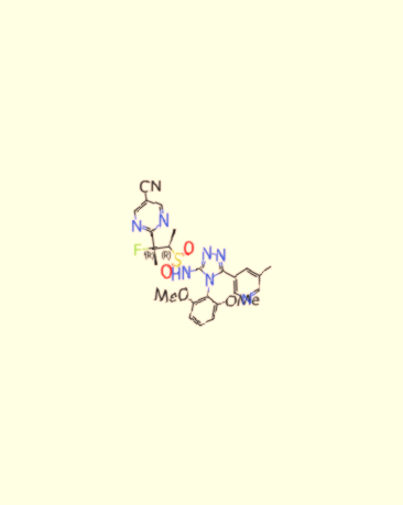 COc1cccc(OC)c1-n1c(NS(=O)(=O)[C@H](C)[C@](C)(F)c2ncc(C#N)cn2)nnc1-c1cncc(C)c1